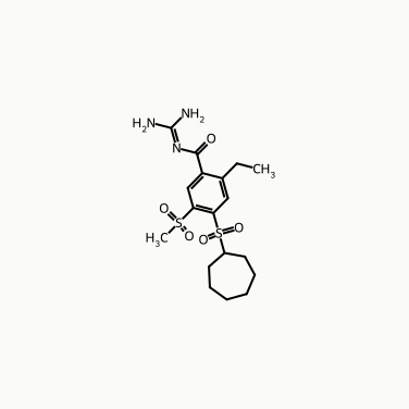 CCc1cc(S(=O)(=O)C2CCCCCC2)c(S(C)(=O)=O)cc1C(=O)N=C(N)N